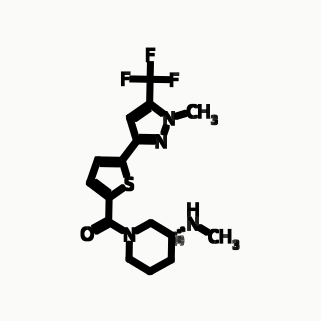 CN[C@@H]1CCCN(C(=O)c2ccc(-c3cc(C(F)(F)F)n(C)n3)s2)C1